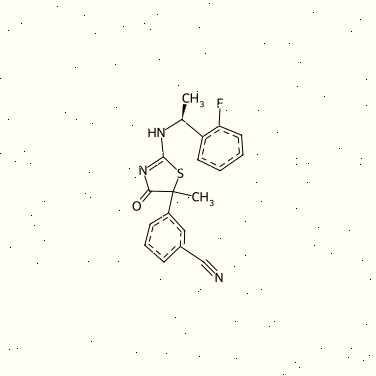 C[C@H](NC1=NC(=O)C(C)(c2cccc(C#N)c2)S1)c1ccccc1F